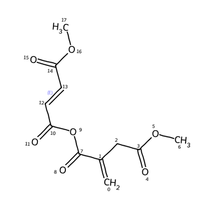 C=C(CC(=O)OC)C(=O)OC(=O)/C=C/C(=O)OC